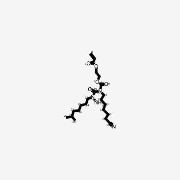 C=CC(=O)OCCOC(=O)N(CCCCCCC#N)C(=O)N(N)CCCCCC(C)C